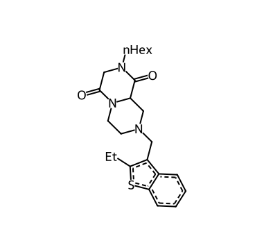 CCCCCCN1CC(=O)N2CCN(Cc3c(CC)sc4ccccc34)CC2C1=O